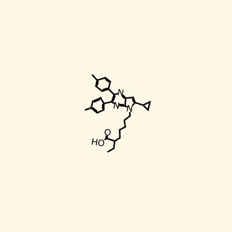 CCC(CCCCCn1c(C2CC2)cc2nc(-c3ccc(C)cc3)c(-c3ccc(C)cc3)nc21)C(=O)O